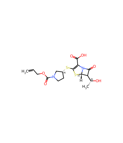 C=CCOC(=O)N1CC[C@@H](SC2=C(C(=O)O)N3C(=O)C([C@@H](C)O)[C@@H]3S2)C1